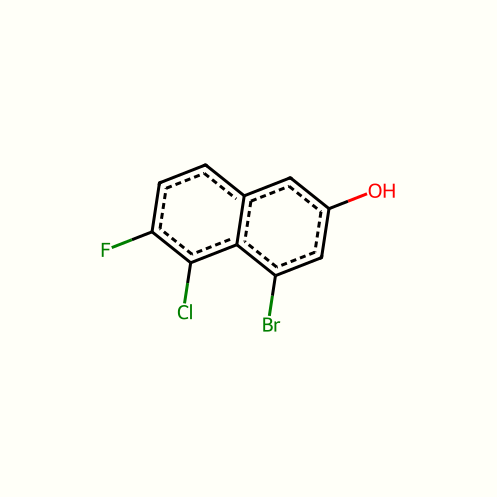 Oc1cc(Br)c2c(Cl)c(F)ccc2c1